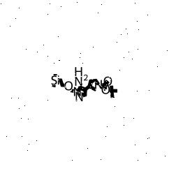 CC(C)(C)OC(=O)N1CC=C(c2cnn(COCC[Si](C)(C)C)c2N)C1